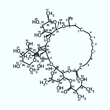 CC(C)C1CCCCCCCCCC(=O)OC2[C@H](OC3[C@H](O[C@@H]4O[C@H](C)[C@H](O)[C@@H](O)[C@H]4O)C(O[C@H]4[C@H](O1)O[C@H](C)[C@@H](O)[C@@H]4O)O[C@H](C)[C@H]3O)O[C@H](C)[C@@H](O)[C@@H]2OC(=O)C(C)C(C)O